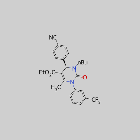 CCCCN1C(=O)N(c2cccc(C(F)(F)F)c2)C(C)=C(C(=O)OCC)[C@H]1c1ccc(C#N)cc1